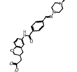 COC(=O)CC1COc2ccc(NC(=O)c3ccc(C=NN4CCN(C)CC4)cc3)cc2C1